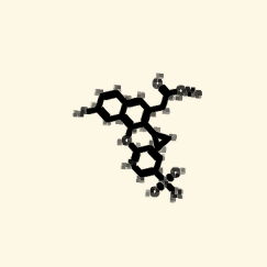 CCS(=O)(=O)c1ccc(Oc2c(C3CC3)c(CC(=O)OC)cc3ccc(F)cc23)nc1